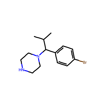 CC(C)C(c1ccc(Br)cc1)N1CCNCC1